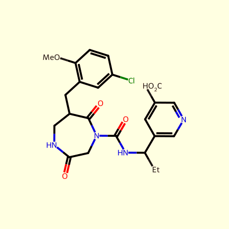 CCC(NC(=O)N1CC(=O)NCC(Cc2cc(Cl)ccc2OC)C1=O)c1cncc(C(=O)O)c1